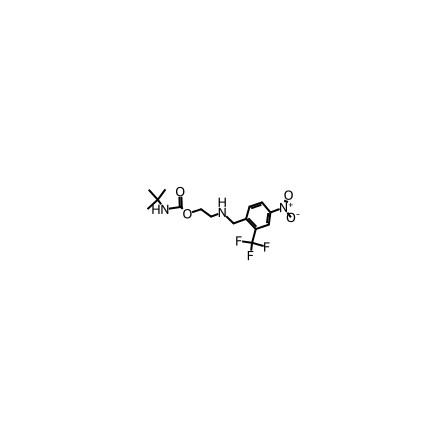 CC(C)(C)NC(=O)OCCNCc1ccc([N+](=O)[O-])cc1C(F)(F)F